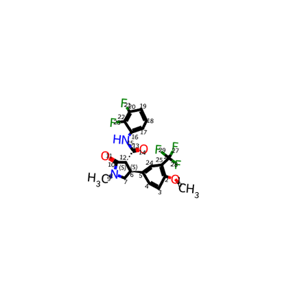 COc1ccc([C@H]2CN(C)C(=O)[C@@H]2C(=O)Nc2cccc(F)c2F)cc1C(F)(F)F